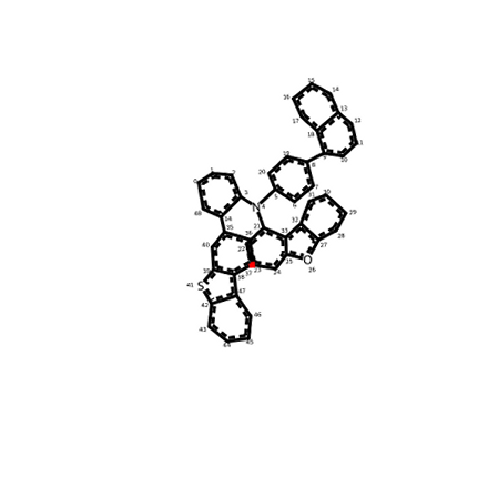 c1ccc(N(c2ccc(-c3cccc4ccccc34)cc2)c2cccc3oc4ccccc4c23)c(-c2ccc3c(c2)sc2ccccc23)c1